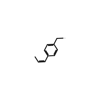 [CH2]Cc1ccc(/C=C\C)cc1